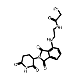 CC(C)CC(=O)NCCNc1cccc2c1C(=O)N(C1CCC(=O)NC1=O)C2=O